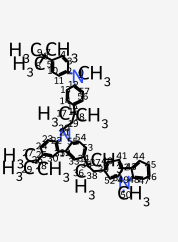 CN(c1ccc(C(C)(C)C)cc1)c1ccc(C(C)(C)CCn2c3ccc(C(C)(C)C)cc3c3cc(C(C)(C)Cc4ccc5c6ccccc6n(C)c5c4)ccc32)cc1